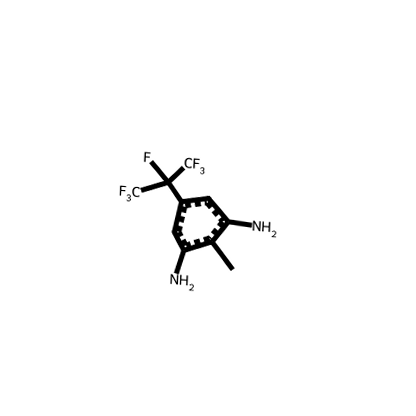 Cc1c(N)cc(C(F)(C(F)(F)F)C(F)(F)F)cc1N